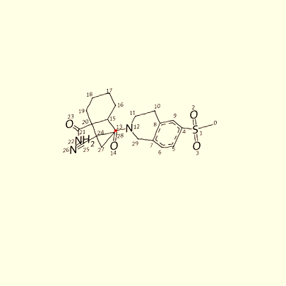 CS(=O)(=O)c1ccc2c(c1)CCN(C(=O)C1CCCCC1(C(N)=O)C1(C#N)CC1)C2